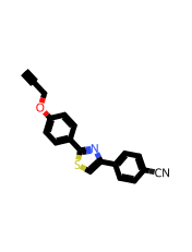 C#CCOc1ccc(-c2nc(-c3ccc(C#N)cc3)cs2)cc1